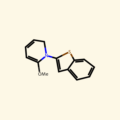 COC1=CC=CCN1c1cc2ccccc2s1